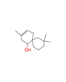 CC1=CCC2(CCCC(C)(C)C2)C(O)C1